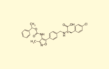 Cc1noc(-c2ccc(CN[C@H](Cc3ccc(Cl)cc3)C(=O)O)cc2)c1NC(=O)OC(C)c1ccccc1